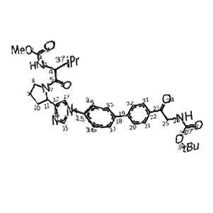 COC(=O)NC(C(=O)N1CCCC1c1cn(-c2ccc(-c3ccc(C(=O)CNC(=O)OC(C)(C)C)cc3)cc2)cn1)C(C)C